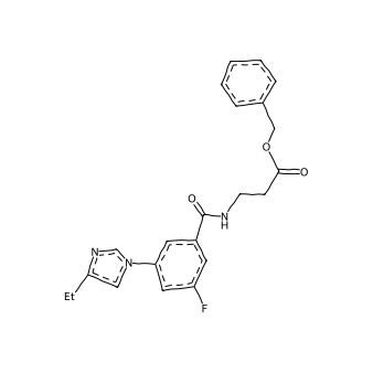 CCc1cn(-c2cc(F)cc(C(=O)NCCC(=O)OCc3ccccc3)c2)cn1